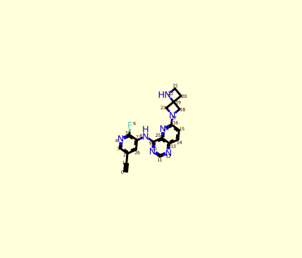 C#Cc1cnc(F)c(Nc2ncnc3ccc(N4CC5(CCN5)C4)nc23)c1